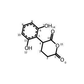 O=C1CCC(c2c(O)cccc2O)C(=O)O1